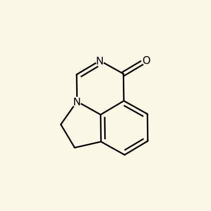 O=c1ncn2c3c(cccc13)CC2